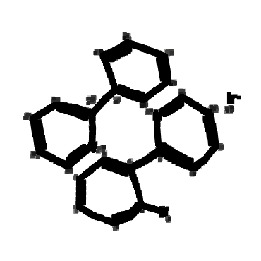 Brc1ccccc1-c1ccccn1.[Ir].c1ccc(-c2ccccn2)cc1